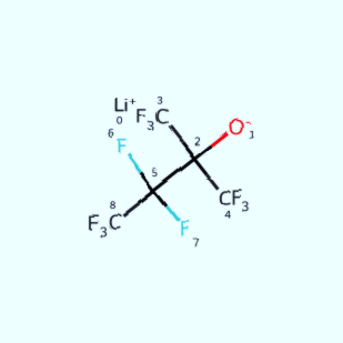 [Li+].[O-]C(C(F)(F)F)(C(F)(F)F)C(F)(F)C(F)(F)F